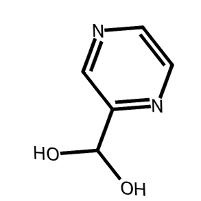 OC(O)c1cnccn1